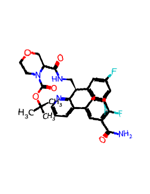 CC(C)(C)OC(=O)N1CCOCC1C(=O)NC[C@@H](c1cc(F)cc(F)c1)c1ncccc1-c1ccc(F)c(C(N)=O)c1